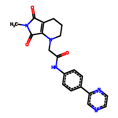 CN1C(=O)C2=C(C1=O)N(CC(=O)Nc1ccc(-c3cnccn3)cc1)CCC2